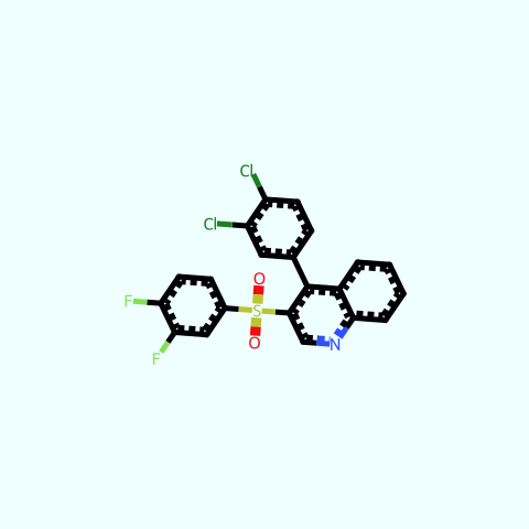 O=S(=O)(c1ccc(F)c(F)c1)c1cnc2ccccc2c1-c1ccc(Cl)c(Cl)c1